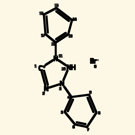 [Br-].[C+]1=NN(c2ccccc2)NN1c1ccccc1